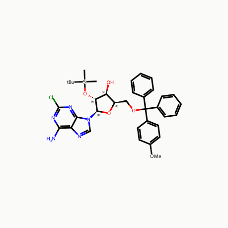 COc1ccc(C(OC[C@H]2O[C@@H](n3cnc4c(N)nc(Cl)nc43)[C@H](O[Si](C)(C)C(C)(C)C)[C@H]2O)(c2ccccc2)c2ccccc2)cc1